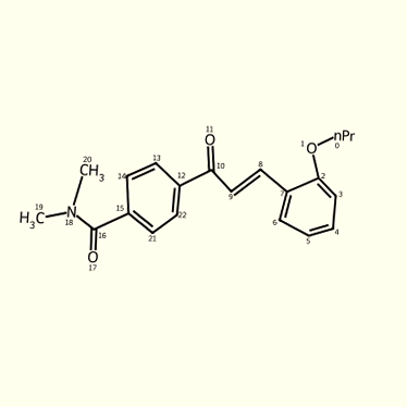 CCCOc1ccccc1C=CC(=O)c1ccc(C(=O)N(C)C)cc1